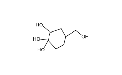 OCC1CCC(O)(O)[C](O)C1